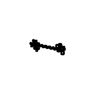 CC(C)OP(OCCCCCCCCCC(=O)ON1C(=O)CCC1=O)N(C(C)C)C(C)C